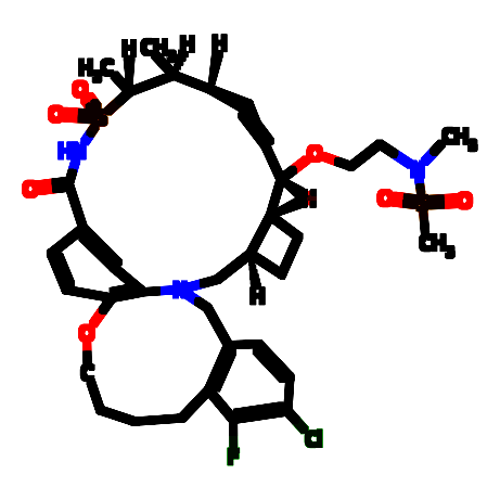 C[C@@H]1[C@@H](C)S(=O)(=O)NC(=O)c2ccc3c(c2)N(Cc2ccc(Cl)c(F)c2CCCCO3)C[C@@H]2CC[C@H]2[C@@H](OCCN(C)S(C)(=O)=O)C2=C[C@H]1C2